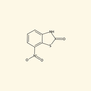 O=c1[nH]c2cccc([N+](=O)[O-])c2s1